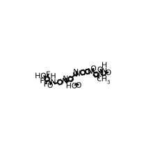 Cc1ccc(C(=O)N2CCC3(CCC(n4cc(-c5ccc6cn(C7CCC(CNC(=O)c8cc(F)c(O)c(F)c8F)CC7)nc6c5)cn4)CC3)CC2)cc1N1CCC(=O)NC1=O.O=CO